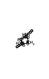 CN1CCC(=O)N2C[C@H](NC(=O)Cc3ccc4ccccc4c3)C[C@H]2COc2ccc(F)cc2C(=O)N(C)[C@H](C(=O)NCc2ccc3ccccc3c2)CCC1=O